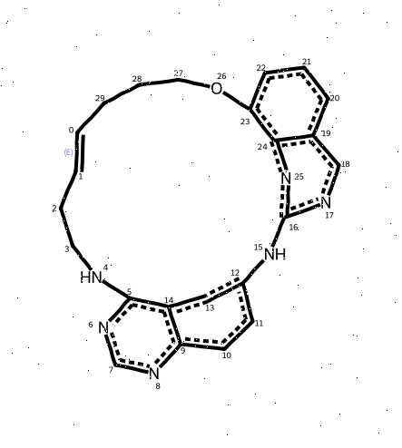 C1=C/CCNc2ncnc3ccc(cc23)Nc2ncc3cccc(c3n2)OCCC/1